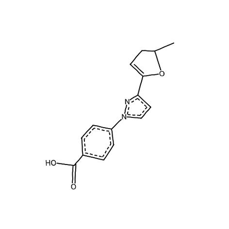 CC1CC=C(c2ccn(-c3ccc(C(=O)O)cc3)n2)O1